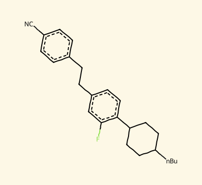 CCCCC1CCC(c2ccc(CCc3ccc(C#N)cc3)cc2F)CC1